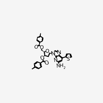 Cc1ccc(C(=O)OC[C@H]2O[C@@H](n3cnc4c(-c5cccs5)cc(N)nc43)C[C@H]2OC(=O)c2ccc(C)cc2)cc1